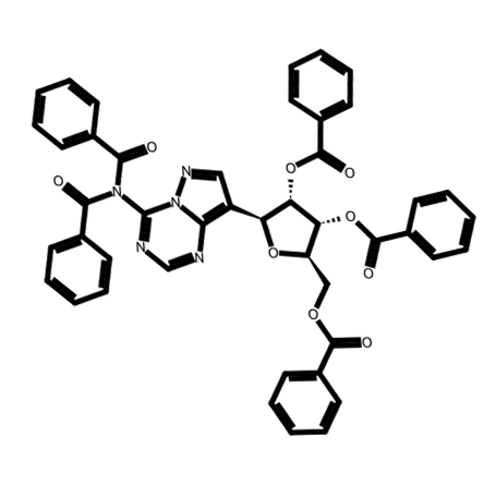 O=C(OC[C@H]1O[C@@H](c2cnn3c(N(C(=O)c4ccccc4)C(=O)c4ccccc4)ncnc23)[C@H](OC(=O)c2ccccc2)[C@@H]1OC(=O)c1ccccc1)c1ccccc1